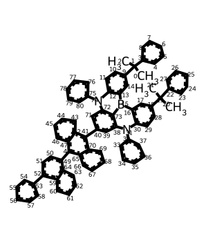 CC(C)(c1ccccc1)c1ccc2c(c1)B1c3cc(C(C)(C)c4ccccc4)ccc3N(c3ccccc3)c3cc(-c4c5ccccc5c(-c5ccc(-c6ccccc6)c6ccccc56)c5ccccc45)cc(c31)N2c1ccccc1